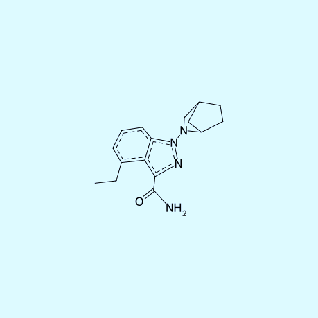 CCc1cccc2c1c(C(N)=O)nn2N1CC2CCC1C2